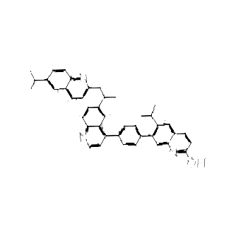 CC(C)c1ccc2nc(CC(C)c3ccc4nccc(-c5ccc(-c6cc7nc(O)ccc7cc6C(C)C)cc5)c4c3)ccc2c1